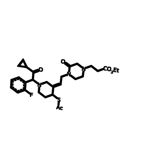 CCOC(=O)CCN1CCN(CC=C2CN(C(C(=O)C3CC3)c3ccccc3F)CCC2SC(C)=O)C(=O)C1